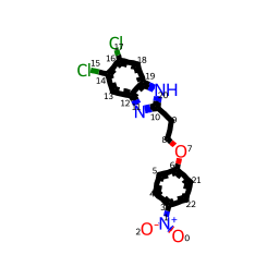 O=[N+]([O-])c1ccc(OCCc2nc3cc(Cl)c(Cl)cc3[nH]2)cc1